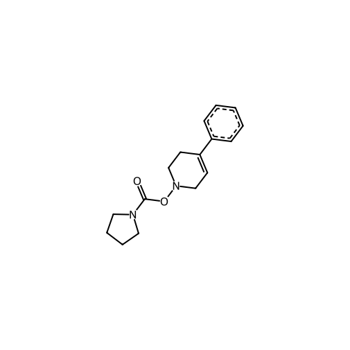 O=C(ON1CC=C(c2ccccc2)CC1)N1CCCC1